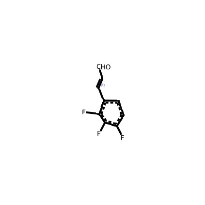 O=C/C=C/c1ccc(F)c(F)c1F